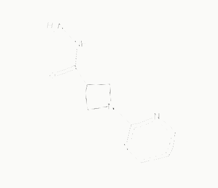 NNC(=O)C1CN(c2ncccn2)C1